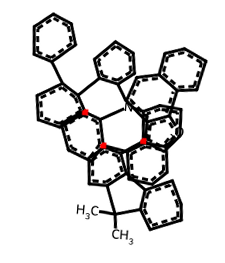 CC1(C)c2ccccc2-c2c(-c3ccccc3N(c3ccccc3-c3ccccc3-c3ccccc3)c3ccccc3-c3cccc4oc5c6ccccc6ccc5c34)cccc21